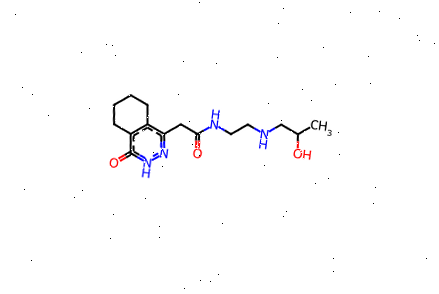 CC(O)CNCCNC(=O)Cc1n[nH]c(=O)c2c1CCCC2